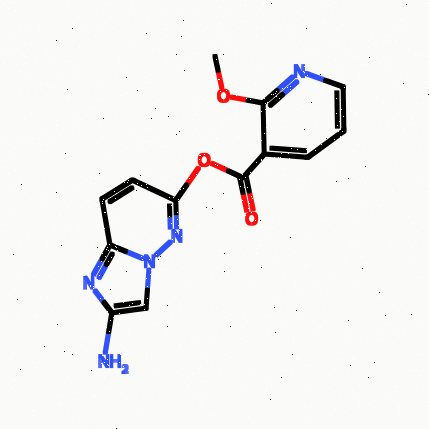 COc1ncccc1C(=O)Oc1ccc2nc(N)cn2n1